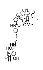 COc1cccc(Nc2c(C(N)=O)cnc3c(C)cc(S(=O)(=O)c4cccc(C(=O)Nc5ccc(C#CCCCNCC(O)c6ccc(O)c7c6OCC(=O)N7)cc5)c4)cc23)c1